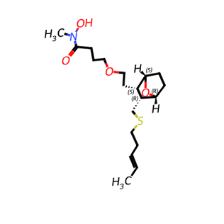 CC=CCCSC[C@@H]1[C@H](CCOCCCC(=O)N(C)O)[C@@H]2CC[C@H]1O2